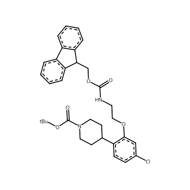 CC(C)(C)OC(=O)N1CCC(c2ccc(Cl)cc2OCCNC(=O)OCC2c3ccccc3-c3ccccc32)CC1